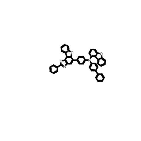 c1ccc(-c2ccc(N(c3ccc(-c4cc5nc(-c6ccccc6)oc5c5c4oc4ccccc45)cc3)c3cccc4oc5ccccc5c34)cc2)cc1